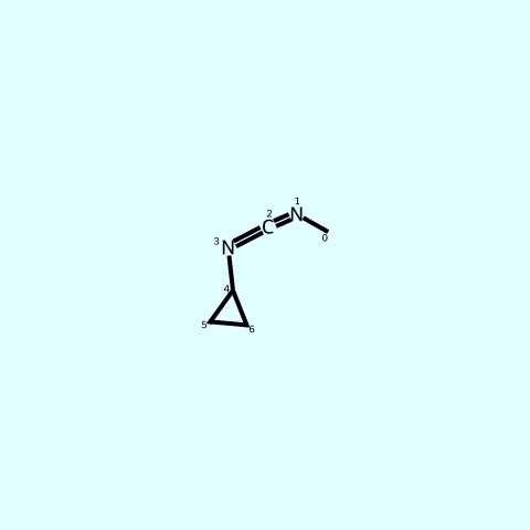 CN=C=NC1CC1